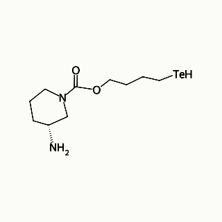 N[C@@H]1CCCN(C(=O)OCCCC[TeH])C1